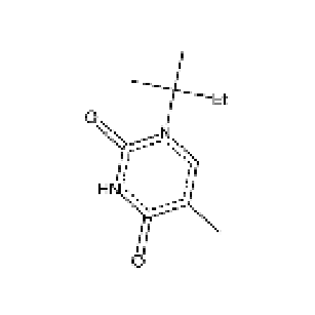 CCC(C)(C)n1cc(C)c(=O)[nH]c1=O